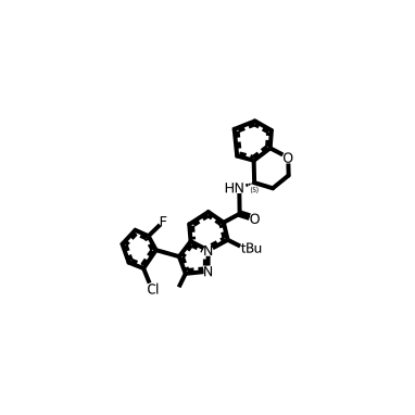 Cc1nn2c(C(C)(C)C)c(C(=O)N[C@H]3CCOc4ccccc43)ccc2c1-c1c(F)cccc1Cl